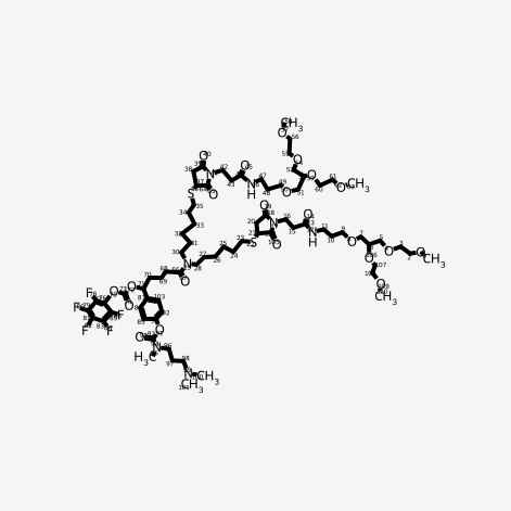 COCCOCC(COCCCNC(=O)CCN1C(=O)CC(SCCCCCCN(CCCCCCSC2CC(=O)N(CCC(=O)NCCCOCC(COCCOC)OCCOC)C2=O)C(=O)CCCC(OC(=O)Oc2c(F)c(F)c(F)c(F)c2F)c2ccc(OC(=O)N(C)CCCN(C)C)cc2)C1=O)OCCOC